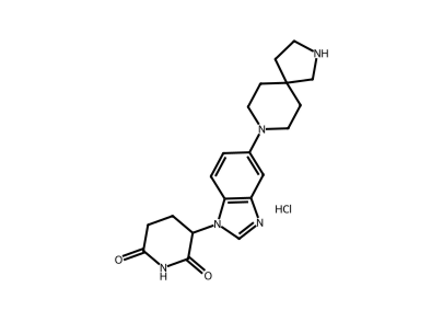 Cl.O=C1CCC(n2cnc3cc(N4CCC5(CCNC5)CC4)ccc32)C(=O)N1